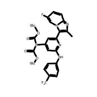 Cc1nc2ccc(F)cn2c1-c1cc(N(C(=O)OC(C)(C)C)C(=O)OC(C)(C)C)cc(Nc2ccc(C(F)(F)F)cc2)n1